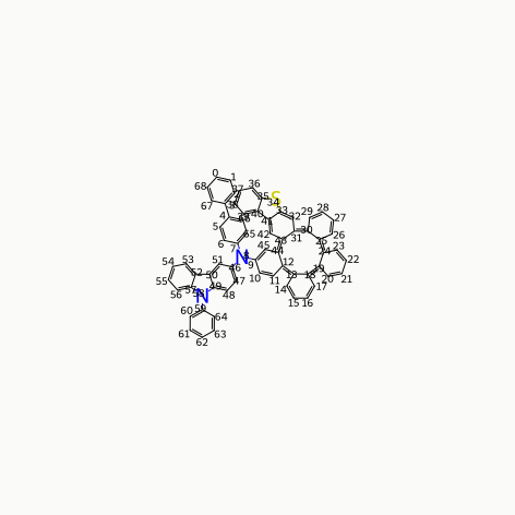 c1ccc(-c2ccc(N(c3ccc4c5ccccc5c5ccccc5c5ccccc5c5cc6sc7ccccc7c6cc5c4c3)c3ccc4c(c3)c3ccccc3n4-c3ccccc3)cc2)cc1